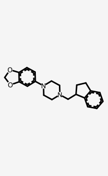 c1ccc2c(c1)CCC2CN1CCN(c2ccc3c(c2)OCO3)CC1